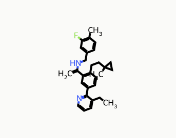 C=C(NCc1ccc(C)c(F)c1)c1cc(-c2ncccc2CC)ccc1CCC1(C)CC1